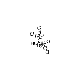 O=CNN(C(=O)[C@@H]1CC[C@@H](N(OCc2ccccc2)C(=O)OCc2ccccc2)CN1C(=O)O)c1ccc(Cl)cc1